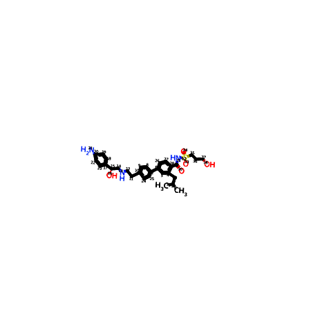 CC(C)Cc1cc(-c2ccc(CCNC[C@H](O)c3ccc(N)cc3)cc2)ccc1C(=O)NS(=O)(=O)CCCO